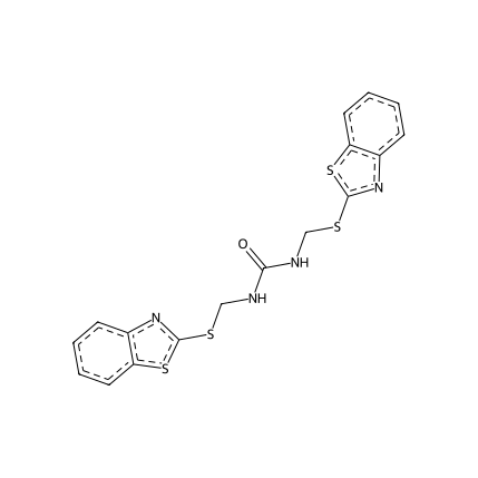 O=C(NCSc1nc2ccccc2s1)NCSc1nc2ccccc2s1